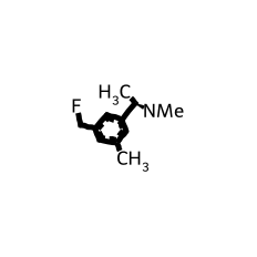 CN[C@H](C)c1cc(C)cc(CF)c1